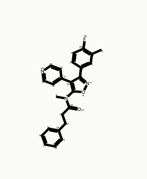 Cc1cc(-c2noc(N(C)C(=O)CCc3ccccc3)c2-c2ccncc2)ccc1F